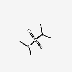 C[C](C)S(=O)(=O)N(C)C